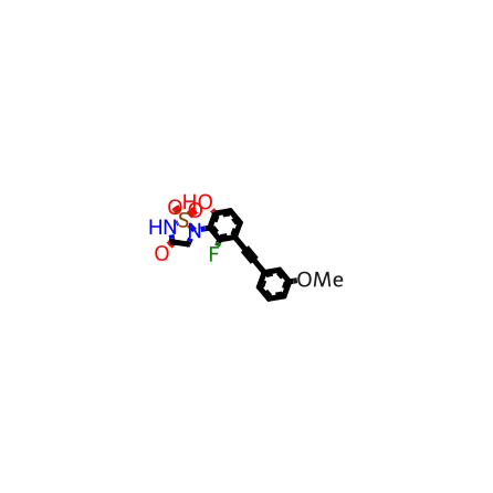 COc1cccc(C#Cc2ccc(O)c(N3CC(=O)NS3(=O)=O)c2F)c1